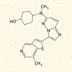 Cc1cncc2cc(-c3cnc4ccc(N(C)C5CCC(O)CC5)nn34)sc12